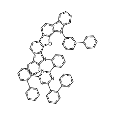 c1ccc(-c2cccc(-n3c4ccccc4c4ccc5c6ccc7c8ccccc8n(-c8ccccc8-c8nc(-c9ccccc9-c9ccccc9)nc(-c9ccccc9-c9ccccc9)n8)c7c6oc5c43)c2)cc1